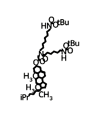 CC(C)CCCC(C)C1CCC2C3CC=C4CC(OC(=O)CN(CCCCCCCCNC(=O)OC(C)(C)C)C(=O)CCCCCNC(=O)OC(C)(C)C)CCC4(C)C3CCC12C